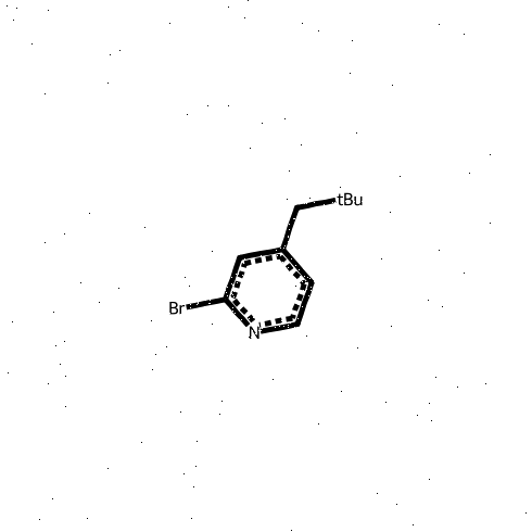 CC(C)(C)Cc1ccnc(Br)c1